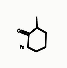 CC1CCCCC1=O.[Fe]